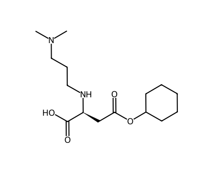 CN(C)CCCN[C@@H](CC(=O)OC1CCCCC1)C(=O)O